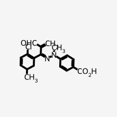 C=C(C=O)/C(=N\N(C)c1ccc(C(=O)O)cc1)C1=C(Cl)C=CC(C)C1